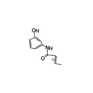 C/C=C/C(=O)Nc1cccc(O)c1